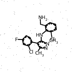 Cc1nn(C)c(Nc2c(Cl)cccc2CN)c1-c1ccc(F)cc1Cl